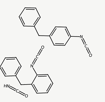 N=C=O.O=C=Nc1ccc(Cc2ccccc2)cc1.O=C=Nc1ccccc1Cc1ccccc1